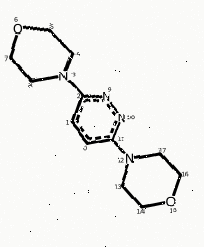 c1cc(N2CCOCC2)nnc1N1CCOCC1